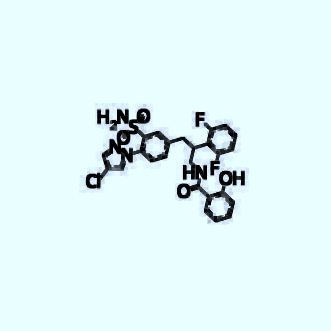 NS(=O)(=O)c1cc(CC(CNC(=O)c2ccccc2O)c2c(F)cccc2F)ccc1-n1cc(Cl)cn1